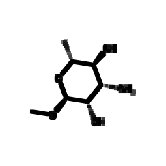 CO[C@H]1O[C@H](C)[C@@H](O)[C@H](N)[C@@H]1O